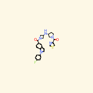 O=C(c1ccc2c(ccn2-c2ccc(F)cc2)c1)N1CC(N[C@H]2CCN(C(=O)c3cscn3)C2)C1